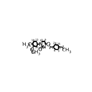 CCc1ccc(COc2ccn(-c3ccc(C)c(OC)c3)c(=O)n2)cc1